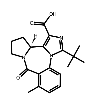 Cc1cccc2c1C(=O)N1CCC[C@H]1c1c(C(=O)O)nc(C(C)(C)C)n1-2